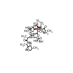 C[C@H](CO)NC(=O)[C@H](C)NC(=O)[C@H](C)NC(=O)[C@H](COP(=O)(O)O)NC(=O)[C@H](C)NC(=O)[C@H](C)NC(=O)[C@H](COP(=O)(O)O)NC(=O)[C@H](C)NC(=O)[C@H](C)N